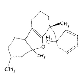 CC1CCC2C3=C(OC2(C)C1)[C@@](C)(C1(C)C=CC=CC1)CCC3